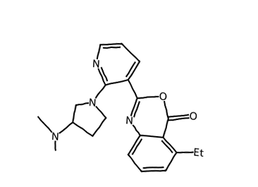 CCc1cccc2nc(-c3cccnc3N3CCC(N(C)C)C3)oc(=O)c12